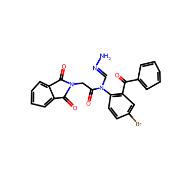 NN=CN(C(=O)CN1C(=O)c2ccccc2C1=O)c1ccc(Br)cc1C(=O)c1ccccc1